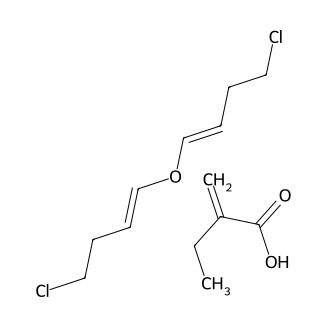 C=C(CC)C(=O)O.ClCCC=COC=CCCCl